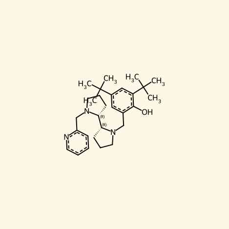 CC(C)(C)c1cc(CN2CCC[C@@H]2[C@H]2CCCN2Cc2ccccn2)c(O)c(C(C)(C)C)c1